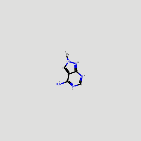 CC(C)n1cc2c(N)ncnc2n1